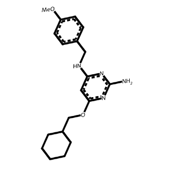 COc1ccc(CNc2cc(OCC3CCCCC3)nc(N)n2)cc1